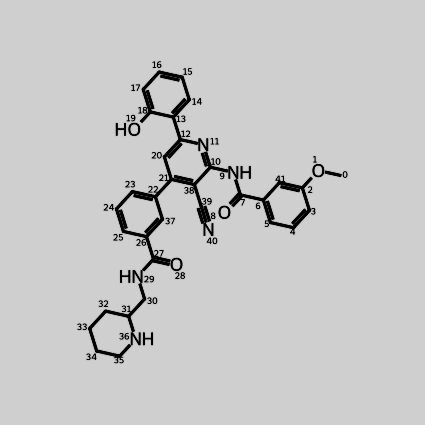 COc1cccc(C(=O)Nc2nc(-c3ccccc3O)cc(-c3cccc(C(=O)NCC4CCCCN4)c3)c2C#N)c1